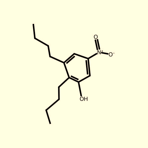 CCCCc1cc([N+](=O)[O-])cc(O)c1CCCC